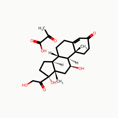 CC(=O)C(=O)O.C[C@]12CCC(=O)C=C1CC[C@@H]1[C@@H]2[C@@H](O)C[C@@]2(C)[C@H]1CC[C@]2(O)C(=O)CO